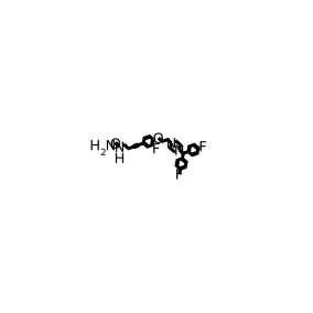 NONCCC#Cc1ccc(OCCN2CCN(C(c3ccc(F)cc3)c3ccc(F)cc3)CC2)c(F)c1